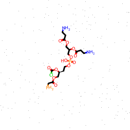 NCCC(=O)OCC(COP(=O)(O)OCC[C@@H](COC(=O)CP)OC(=O)Cl)OC(=O)CCN